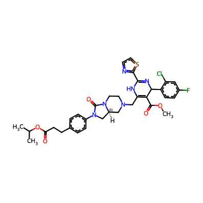 COC(=O)C1=C(CN2CCN3C(=O)N(c4ccc(CCC(=O)OC(C)C)cc4)C[C@@H]3C2)NC(c2nccs2)=NC1c1ccc(F)cc1Cl